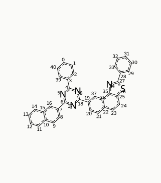 c1ccc(-c2nc(-c3ccc4ccccc4c3)nc(-c3ccc4ccc5sc(-c6ccccc6)nc5c4c3)n2)cc1